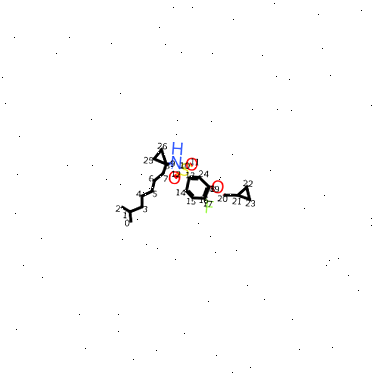 CC(C)CCCCCC1(NS(=O)(=O)c2ccc(F)c(OCC3CC3)c2)CC1